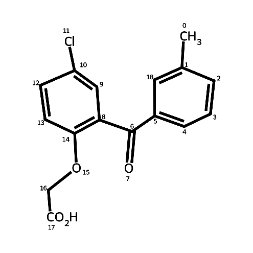 Cc1cccc(C(=O)c2cc(Cl)ccc2OCC(=O)O)c1